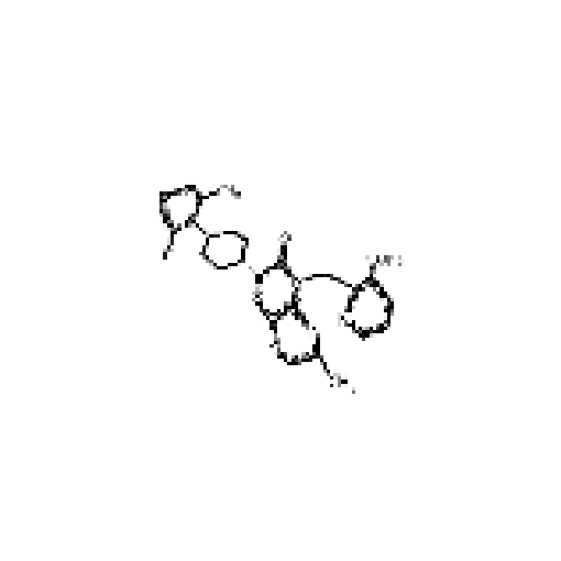 COc1cccnc1Cn1c(=O)c([C@H]2CC[C@H](c3c(C)cccc3F)CC2)cc2ncc(C)nc21